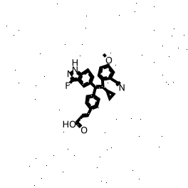 COc1ccc(C(=C(c2ccc(C=CC(=O)O)cc2)c2ccc3[nH]nc(F)c3c2)C2CC2)c(C#N)c1